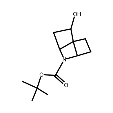 CC(C)(C)OC(=O)N1C2CCC23C(O)CC13